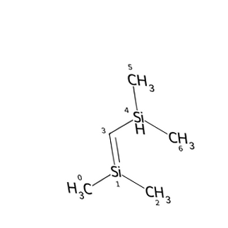 C[Si](C)=C[SiH](C)C